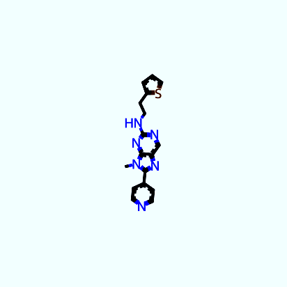 Cn1c(-c2ccncc2)nc2cnc(NCCc3cccs3)nc21